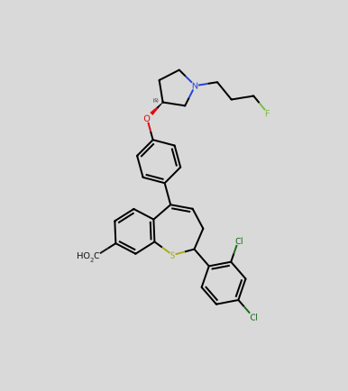 O=C(O)c1ccc2c(c1)SC(c1ccc(Cl)cc1Cl)CC=C2c1ccc(O[C@H]2CCN(CCCF)C2)cc1